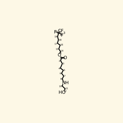 O=C(CCCCCCCNCCO)OCCCCCCC(F)(F)C(F)(F)F